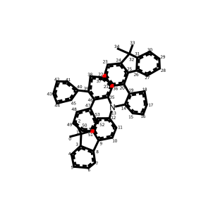 CC1(C)c2ccccc2-c2ccc(N(c3ccccc3-c3cccc4c3-c3ccccc3C4(C)C)c3cccc(-c4ccccc4)c3-c3ccccc3)cc21